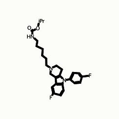 CC(C)OC(=O)NCCCCCCN1CCc2c(c3cc(F)ccc3n2-c2ccc(F)cc2)C1